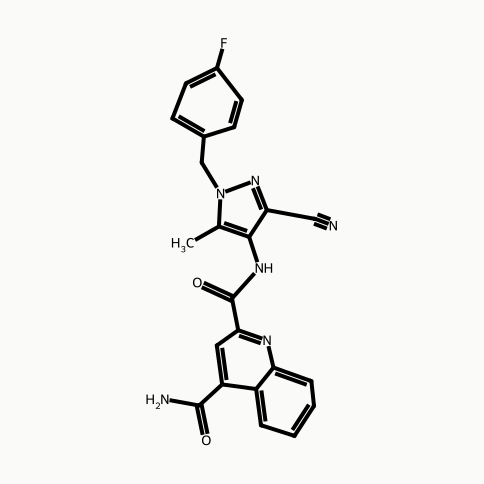 Cc1c(NC(=O)c2cc(C(N)=O)c3ccccc3n2)c(C#N)nn1Cc1ccc(F)cc1